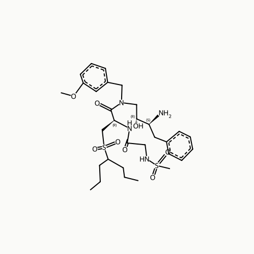 CCCC(CCC)S(=O)(=O)C[C@H](NC(=O)CNS(C)(=O)=O)C(=O)N(Cc1cccc(OC)c1)C[C@@H](O)[C@@H](N)Cc1ccccc1